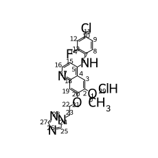 COc1cc2c(Nc3ccc(Cl)cc3F)ccnc2cc1OCCn1cncn1.Cl